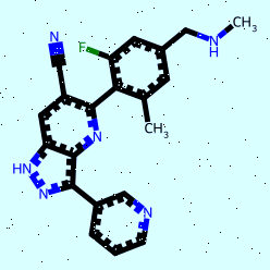 CNCc1cc(C)c(-c2nc3c(-c4cccnc4)n[nH]c3cc2C#N)c(F)c1